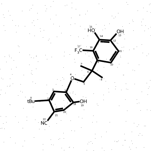 CC(C)(C)c1cc(OCC(C)(C)c2ccc(O)c(O)c2C(F)(F)F)c(O)cc1C#N